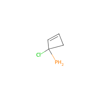 PC1(Cl)C=CC1